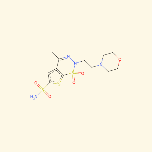 CC1=NN(CCN2CCOCC2)S(=O)(=O)c2sc(S(N)(=O)=O)cc21